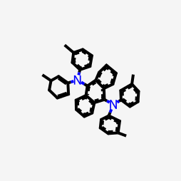 Cc1cccc(N(C2=CC(C)CC=C2)c2c3ccccc3c(N(c3cccc(C)c3)c3cccc(C)c3)c3ccccc23)c1